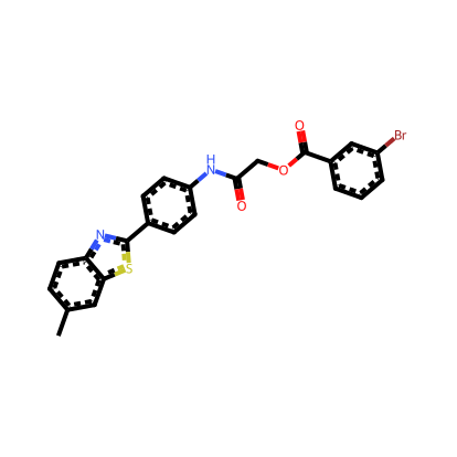 Cc1ccc2nc(-c3ccc(NC(=O)COC(=O)c4cccc(Br)c4)cc3)sc2c1